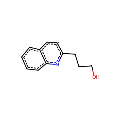 OCCCc1[c]cc2ccccc2n1